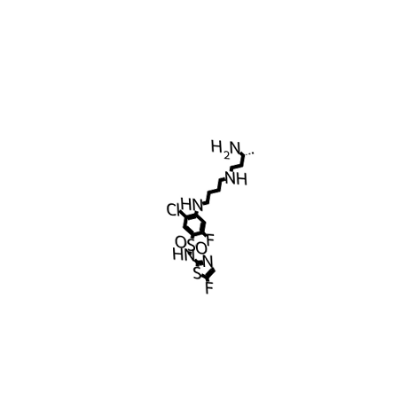 C[C@@H](N)CCNCCCCNc1cc(F)c(S(=O)(=O)Nc2ncc(F)s2)cc1Cl